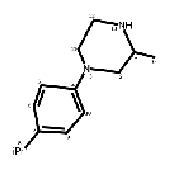 CC1CN(c2ccc(C(C)C)cc2)CCN1